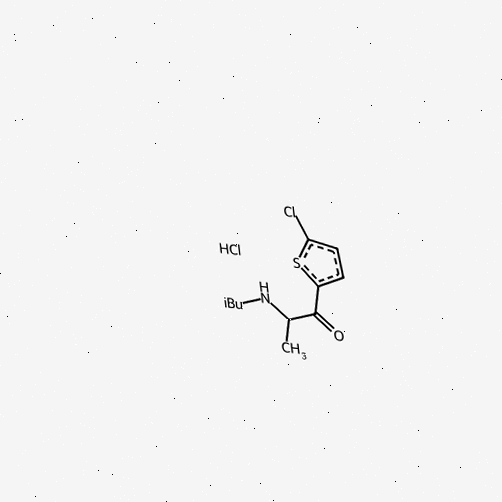 CCC(C)NC(C)C(=O)c1ccc(Cl)s1.Cl